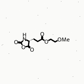 COCCOC(=O)CC[C@H]1NC(=O)OC1=O